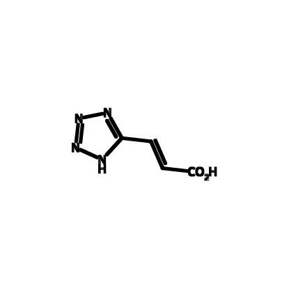 O=C(O)C=Cc1nnn[nH]1